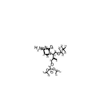 C=C(COCP(=O)(OC(C)C)OC(C)C)C(CO[Si](C)(C)C(C)(C)C)n1ccc(N)nc1=O